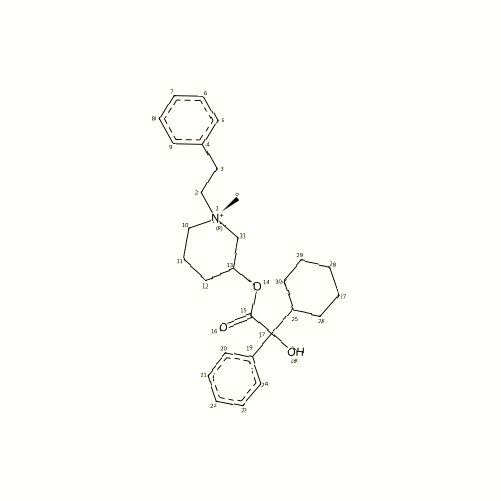 C[N@+]1(CCc2ccccc2)CCCC(OC(=O)C(O)(c2ccccc2)C2CCCCC2)C1